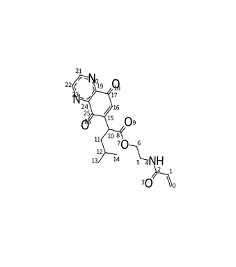 C=CC(=O)NCCOC(=O)C(CC(C)C)C1=CC(=O)c2nccnc2C1=O